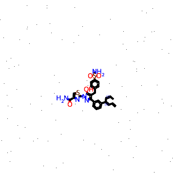 C=C/C=C(\C=C/C)c1cccc(-c2nn(-c3nc(C(N)=O)cs3)c(O)c2Cc2ccc(S(N)(=O)=O)cc2)c1